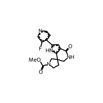 COC(=O)N1CCC2(CNC(=O)c3cc(-c4ccncc4F)[nH]c32)C1